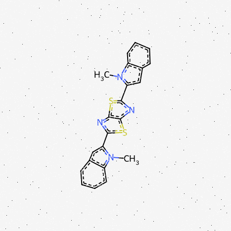 Cn1c(-c2nc3sc(-c4cc5ccccc5n4C)nc3s2)cc2ccccc21